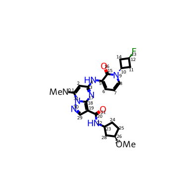 CNc1cc(Nc2cccn([C@H]3C[C@H](F)C3)c2=O)nc2c(C(=O)NC3CC[C@@H](OC)C3)cnn12